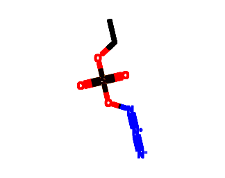 CCOS(=O)(=O)ON=[N+]=[N-]